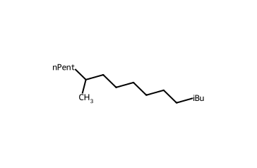 [CH2]CC(C)CCCCCCC(C)CCCCC